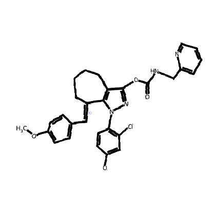 COc1ccc(/C=C2\CCCCc3c(OC(=O)NCc4ccccn4)nn(-c4ccc(Cl)cc4Cl)c32)cc1